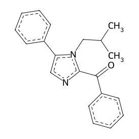 CC(C)Cn1c(-c2ccccc2)cnc1C(=O)c1ccccc1